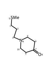 CSCCCN1CCC(=O)CC1